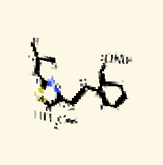 CC(=O)O.CO/C=C1\CC=CC=C1C=Cc1csc(C=C(C)C)n1